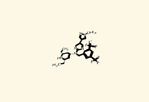 CC[C@@H]1C[C@H](N(Cc2cc(C(F)(F)F)cc(C(F)(F)F)c2)c2ncc(-c3cnn(C)c3)cn2)C[C@H](CC)N1